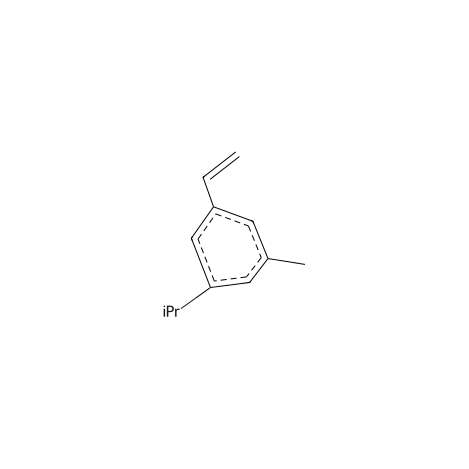 C=Cc1cc(C)cc(C(C)C)c1